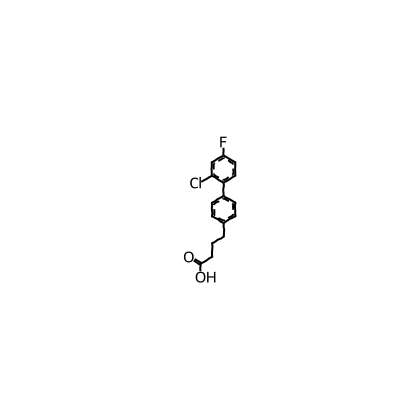 O=C(O)CCCc1ccc(-c2ccc(F)cc2Cl)cc1